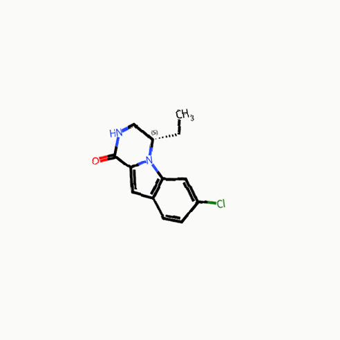 CC[C@H]1CNC(=O)c2cc3ccc(Cl)cc3n21